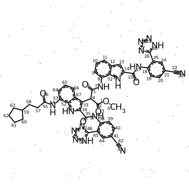 COC(=O)C(C(=O)Nc1cccc2cc(C(=O)Nc3ccc(C#N)cc3-c3nnn[nH]3)[nH]c12)c1c(C(=O)Nc2ccc(C#N)cc2-c2nnn[nH]2)[nH]c2c(NC(=O)CCC3CCCC3)cccc12